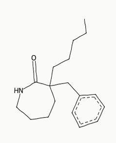 CCCCCC1(Cc2ccccc2)CCCCNC1=O